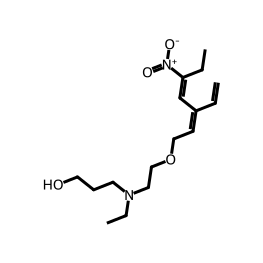 C=CC(=C/COCCN(CC)CCCO)/C=C(\CC)[N+](=O)[O-]